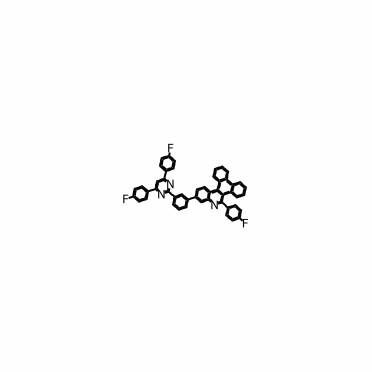 Fc1ccc(-c2cc(-c3ccc(F)cc3)nc(-c3cccc(-c4ccc5c(c4)nc(-c4ccc(F)cc4)c4c6ccccc6c6ccccc6c54)c3)n2)cc1